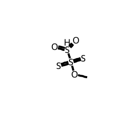 COS(=S)(=S)[SH](=O)=O